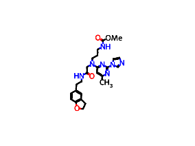 COC(=O)NCCCN(CC(=O)NCCc1ccc2c(c1)CCO2)c1cc(C)nc(-n2ccnc2)n1